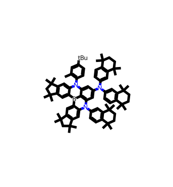 Cc1cc(C(C)(C)C)ccc1N1c2cc3c(cc2B2c4cc5c(cc4N(c4ccc6c(c4)C(C)(C)CCC6(C)C)c4cc(N(c6ccc7c(c6)C(C)(C)CCC7(C)C)c6ccc7c(c6)C(C)(C)CCC7(C)C)cc1c42)C(C)(C)CC5(C)C)C(C)(C)CC3(C)C